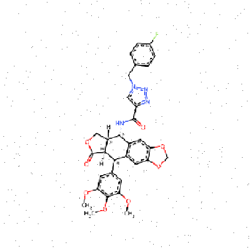 COc1cc([C@@H]2c3cc4c(cc3[C@@H](NC(=O)c3cn(Cc5ccc(F)cc5)nn3)[C@H]3COC(=O)[C@H]23)OCO4)cc(OC)c1OC